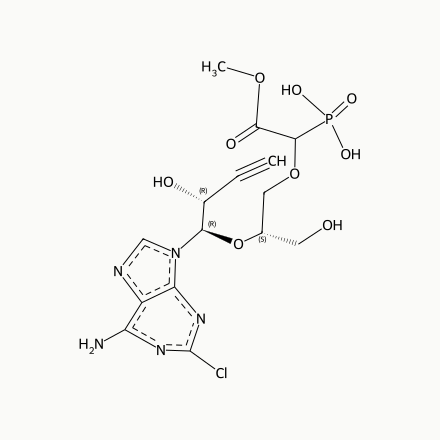 C#C[C@@H](O)[C@@H](O[C@@H](CO)COC(C(=O)OC)P(=O)(O)O)n1cnc2c(N)nc(Cl)nc21